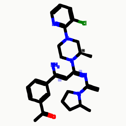 C=C(/N=C(\C=C(/N)c1cccc(C(C)=O)c1)N1CCN(c2ncccc2Cl)C[C@H]1C)N1CCCC1C